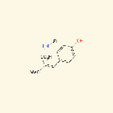 CCN.COC(=Cc1ccc(O)cc1)C(=O)O